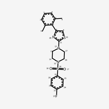 Cc1cccc(C)c1-c1csc(N2CCN(S(=O)(=O)c3ccc(F)cc3)CC2)n1